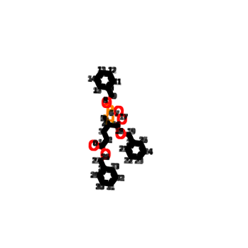 O=C(CCC(C[PH](=O)OCc1ccccc1)C(=O)OCc1ccccc1)OCc1ccccc1